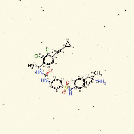 C[C@H](NC(=O)Nc1ccc(S(=O)(=O)Nc2ccc(CC(C)(C)N)cc2)cc1)c1ccc(C#CC2CC2)c(Cl)c1Cl